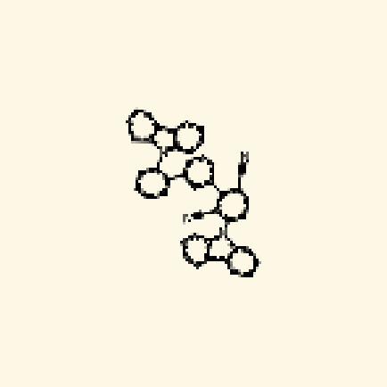 N#Cc1ccc(-n2c3ccccc3c3ccccc32)c(C#N)c1-c1cccc(-c2ccccc2-n2c3ccccc3c3ccccc32)c1